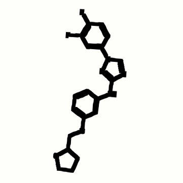 Fc1ccc(-n2cnc(Nc3cccc(OCC4CCCO4)c3)n2)cc1F